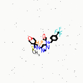 CSCC1(CNc2ncnc(N(Cc3ccc(C(F)(F)F)cc3)C3COC3)c2P)CCOCC1